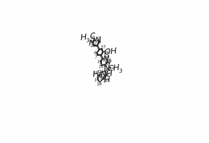 Cc1ncc(-c2ccc(-c3ccc(N(C)C4C[C@H]5CC[C@@H](C4)N5)nn3)c(O)c2)cn1